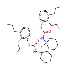 CCCc1cccc(OC(=O)NC2(CC3(NC(=O)Oc4cccc(CCC)c4CCC)CCCCC3)CCCCC2)c1CCC